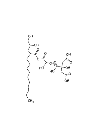 CCCCCCCCCCC(CC(O)CO)C(=O)OC(=O)C(C)O.O=C(O)CC(O)(CC(=O)O)C(=O)O